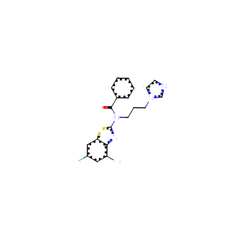 Cc1cc(Cl)cc2sc(N(CCCn3ccnc3)C(=O)c3ccccc3)nc12